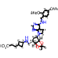 COc1ccc(CNc2ncnc3c2ccn3[C@@H]2C[C@H](CNC3CC(CCC(=O)O)C3)[C@H]3OC(C)(C)O[C@H]32)c(OC)c1